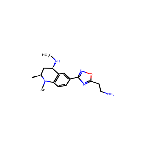 CC(=O)N1c2ccc(-c3noc(CCN)n3)cc2[C@H](NC(=O)O)C[C@@H]1C